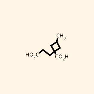 CC1CC(CCC(=O)O)(C(=O)O)C1